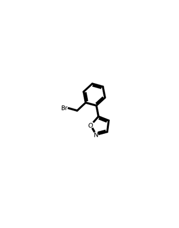 BrCc1ccccc1-c1ccno1